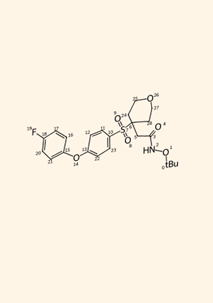 CC(C)(C)ONC(=O)CC1(S(=O)(=O)c2ccc(Oc3ccc(F)cc3)cc2)CCOCC1